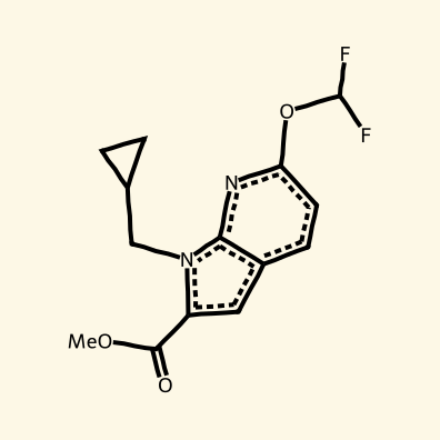 COC(=O)c1cc2ccc(OC(F)F)nc2n1CC1CC1